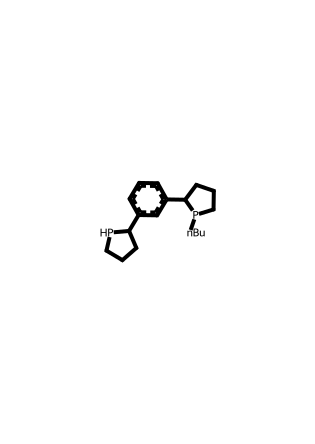 CCCCP1CCCC1c1cccc(C2CCCP2)c1